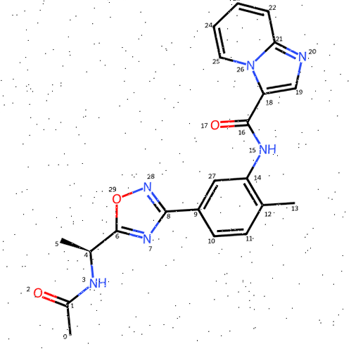 CC(=O)N[C@@H](C)c1nc(-c2ccc(C)c(NC(=O)c3cnc4ccccn34)c2)no1